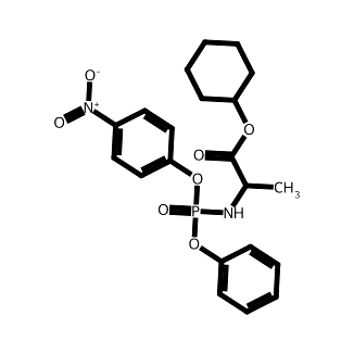 CC(NP(=O)(Oc1ccccc1)Oc1ccc([N+](=O)[O-])cc1)C(=O)OC1CCCCC1